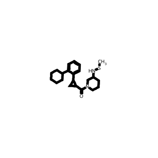 CSNC1CCCN(C(=O)C2CC2c2ccccc2C2CCCCC2)C1